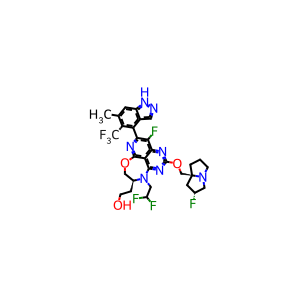 Cc1cc2[nH]ncc2c(-c2nc3c4c(nc(OC[C@@]56CCCN5C[C@H](F)C6)nc4c2F)N(CC(F)F)[C@@H](CCO)CO3)c1C(F)(F)F